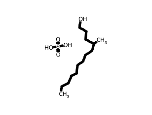 CCCCCCCCCC(C)CCCO.O=S(=O)(O)O